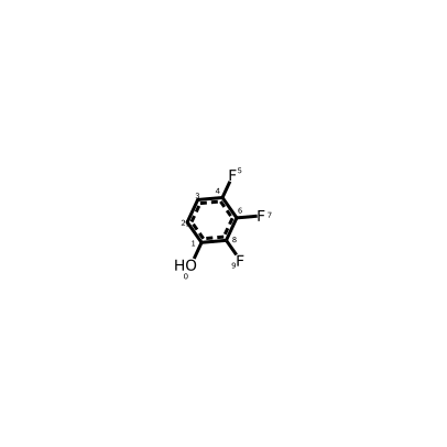 Oc1[c]cc(F)c(F)c1F